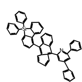 c1ccc(-c2cc(-c3ccccc3)nc(-c3c4ccccc4c(-c4cccc5c4-c4ccccc4[Si]5(c4ccccc4)c4ccccc4)c4ccccc34)c2)cc1